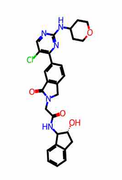 O=C(CN1Cc2ccc(-c3nc(NC4CCOCC4)ncc3Cl)cc2C1=O)NC1c2ccccc2C[C@H]1O